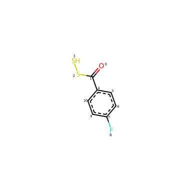 O=C(SS)c1ccc(F)cc1